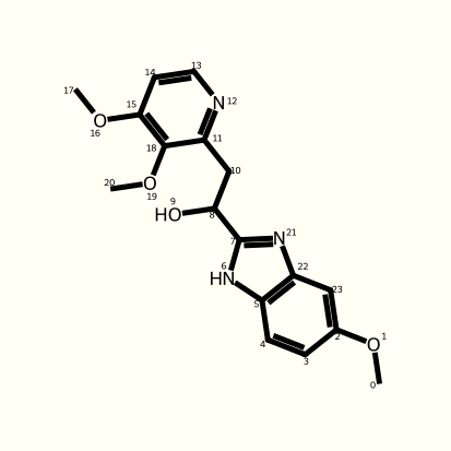 COc1ccc2[nH]c(C(O)Cc3nccc(OC)c3OC)nc2c1